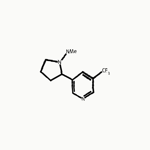 CNN1CCCC1c1cncc(C(F)(F)F)c1